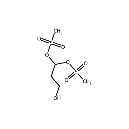 CS(=O)(=O)OC(CCO)OS(C)(=O)=O